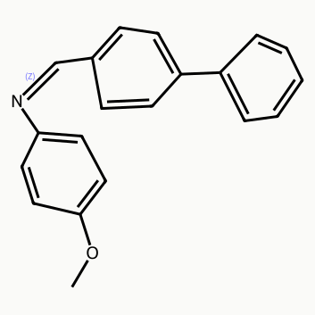 COc1ccc(/N=C\c2ccc(-c3ccccc3)cc2)cc1